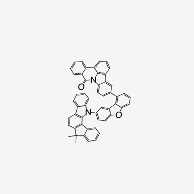 CC1(C)c2ccccc2-c2c1ccc1c3ccccc3n(-c3ccc4oc5cccc(-c6ccc7c(c6)c6cccc8c9ccccc9c(=O)n7c86)c5c4c3)c21